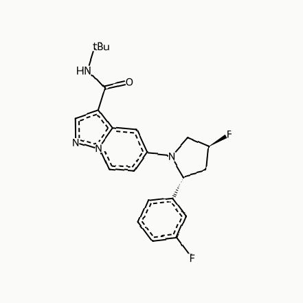 CC(C)(C)NC(=O)c1cnn2ccc(N3C[C@@H](F)C[C@@H]3c3cccc(F)c3)cc12